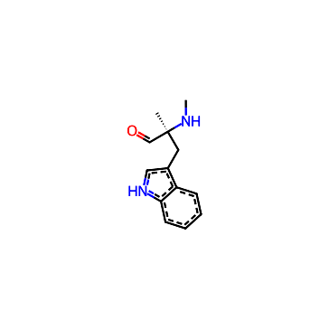 CN[C@](C)(C=O)Cc1c[nH]c2ccccc12